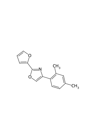 Cc1ccc(-c2coc(-c3ccco3)n2)c(C)c1